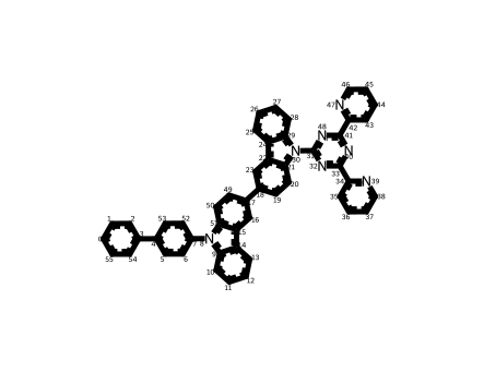 c1ccc(-c2ccc(-n3c4ccccc4c4cc(-c5ccc6c(c5)c5ccccc5n6-c5nc(-c6ccccn6)nc(-c6ccccn6)n5)ccc43)cc2)cc1